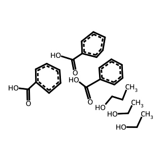 CCCO.CCO.CCO.O=C(O)c1ccccc1.O=C(O)c1ccccc1.O=C(O)c1ccccc1